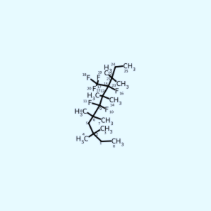 CCC(C)(C)CC(C)(C)C(F)(F)C(C)(C)C(F)(C(F)(F)F)C(C)(C)CC